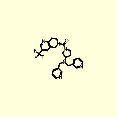 O=C(N1CCc2ncc(C(F)(F)F)cc2C1)N1CCC(N(Cc2cccnc2)Cc2cccnc2)C1